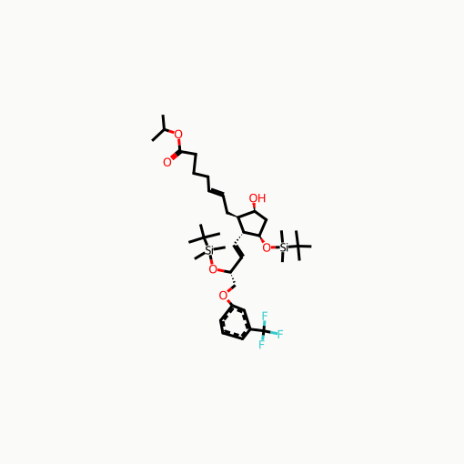 CC(C)OC(=O)CCCC=CC[C@@H]1[C@@H](C=C[C@H](COc2cccc(C(F)(F)F)c2)O[Si](C)(C)C(C)(C)C)[C@H](O[Si](C)(C)C(C)(C)C)C[C@@H]1O